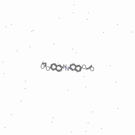 c1cc2cc(OCC3CO3)ccc2cc1/N=N/c1ccc2cc(OC3CCO3)ccc2c1